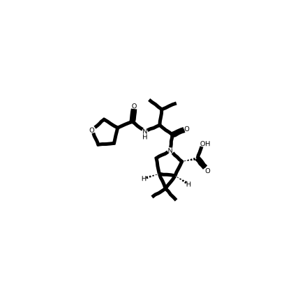 CC(C)C(NC(=O)C1CCOC1)C(=O)N1C[C@H]2[C@@H]([C@H]1C(=O)O)C2(C)C